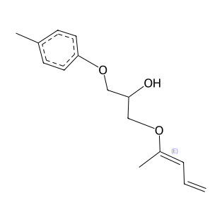 C=C/C=C(\C)OCC(O)COc1ccc(C)cc1